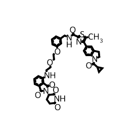 Cc1sc(C(=O)NCc2cccc(OCCOCCNc3cccc4c3C(=O)N(C3CCC(=O)NC3=O)C4=O)c2)nc1-c1ccc2c(c1)CCN2C(=O)C1CC1